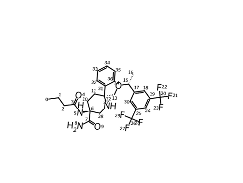 CCCC(=O)N[C@@]1(C(N)=O)CC[C@@](CO[C@H](C)c2cc(C(F)(F)F)cc(C(F)(F)F)c2)(c2ccccc2)NC1